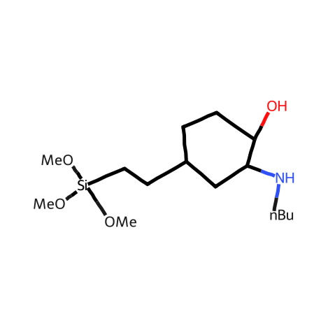 CCCCNC1CC(CC[Si](OC)(OC)OC)CCC1O